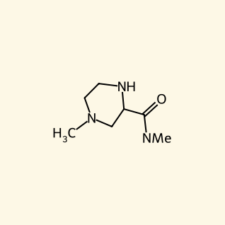 CNC(=O)C1CN(C)CCN1